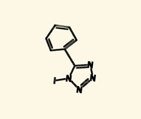 In1nnnc1-c1ccccc1